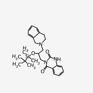 CC(C)(C)[Si](C)(C)OC(CN1CCc2ccccc2C1)Cn1c(=O)[nH]c2ccccc2c1=O